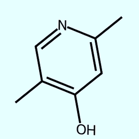 Cc1cc(O)c(C)cn1